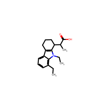 CCc1cccc2c3c(n(CC)c12)C(C(C)C(=O)O)CCC3